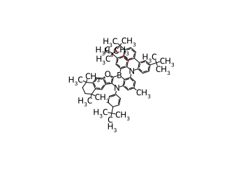 Cc1cc2c3c(c1)N(c1ccc(C(C)(C)C)cc1-c1ccc(C(C)(C)C)cc1)c1ccc(C(C)(C)C)cc1B3c1oc3cc4c(cc3c1N2C1=CCC(C(C)(C)C)C=C1)C(C)(C)CCC4(C)C